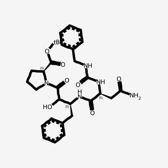 CC(C)(C)OC(=O)[C@@H]1CCCN1C(=O)C(O)[C@H](Cc1ccccc1)NC(=O)[C@H](CC(N)=O)NC(=O)NCc1ccccc1